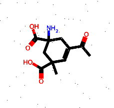 CC(=O)C1=CC(C)(C(=O)O)CC(N)(C(=O)O)C1